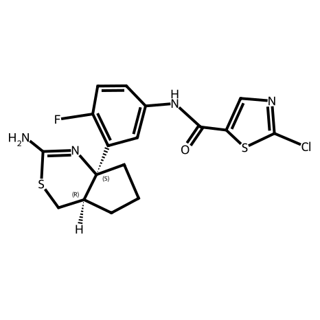 NC1=N[C@@]2(c3cc(NC(=O)c4cnc(Cl)s4)ccc3F)CCC[C@H]2CS1